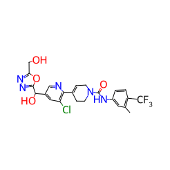 Cc1cc(NC(=O)N2CC=C(c3ncc(C(O)c4nnc(CO)o4)cc3Cl)CC2)ccc1C(F)(F)F